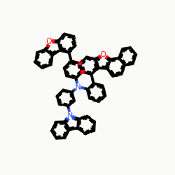 c1cc(N(c2ccc(-c3cccc4oc5ccccc5c34)cc2)c2ccccc2-c2cccc3oc4c5ccccc5ccc4c23)cc(-n2c3ccccc3c3ccccc32)c1